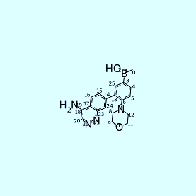 CB(O)c1ccc(N2CCOCC2)c(-c2ccc3c(N)cnnc3c2)c1